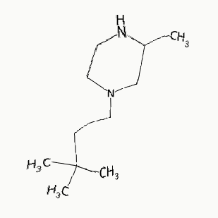 CC1CN(CCC(C)(C)C)CCN1